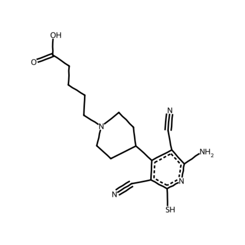 N#Cc1c(N)nc(S)c(C#N)c1C1CCN(CCCCC(=O)O)CC1